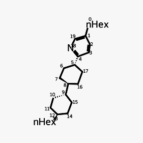 CCCCCCc1ccc([C@H]2CC[C@H]([C@H]3CC[C@H](CCCCCC)CC3)CC2)nc1